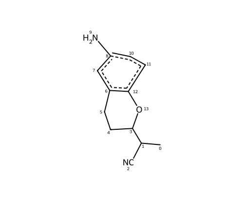 CC(C#N)C1CCc2cc(N)ccc2O1